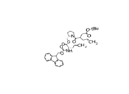 C=CCC(CC(=O)OC(C)(C)C)C(=O)N1CCC[C@H]1COC(=O)[C@H](CC=C)NC(=O)OCC1c2ccccc2-c2ccccc21